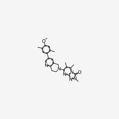 COc1cc(C)c(-c2cnc3c(c2)CN(c2nc4nn(C)c(=O)n4c(C)c2C)CC3)cc1C